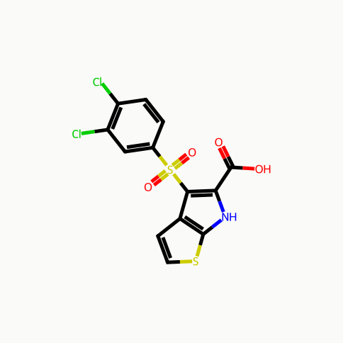 O=C(O)c1[nH]c2sccc2c1S(=O)(=O)c1ccc(Cl)c(Cl)c1